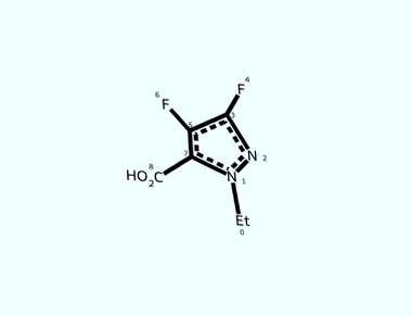 CCn1nc(F)c(F)c1C(=O)O